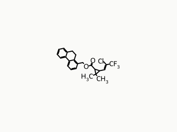 CC1(C)C(C=C(Cl)C(F)(F)F)C1C(=O)OCc1cccc2c1CCc1ccccc1-2